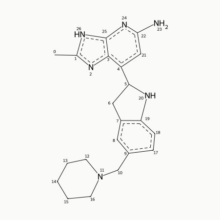 Cc1nc2c(C3Cc4cc(CN5CCCCC5)ccc4N3)cc(N)nc2[nH]1